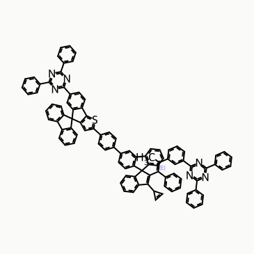 C/C(=C(\C1=C(C2C=C2)c2ccccc2C12c1ccccc1-c1cc(-c3ccc(-c4cc5c(s4)-c4ccc(-c6nc(-c7ccccc7)nc(-c7ccccc7)n6)cc4C54c5ccccc5-c5ccccc54)cc3)ccc12)c1ccccc1)c1cccc(-c2nc(-c3ccccc3)nc(-c3ccccc3)n2)c1